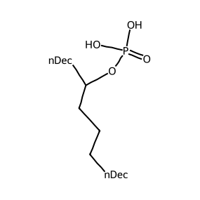 CCCCCCCCCCCCCC(CCCCCCCCCC)OP(=O)(O)O